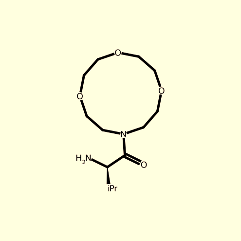 CC(C)[C@@H](N)C(=O)N1CCOCCOCCOCC1